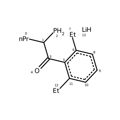 [CH2]CCC(P)C(=O)c1c(CC)cccc1CC.[LiH]